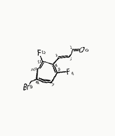 O=CC=Cc1c(F)cc(Br)cc1F